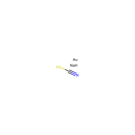 N#CS.[Au].[NaH]